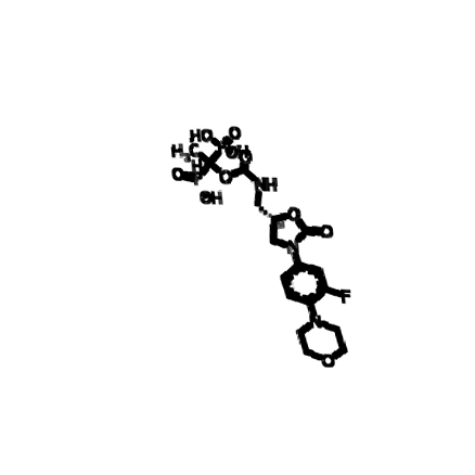 CC(OC(=O)NC[C@H]1CN(c2ccc(N3CCOCC3)c(F)c2)C(=O)O1)([PH](=O)O)P(=O)(O)O